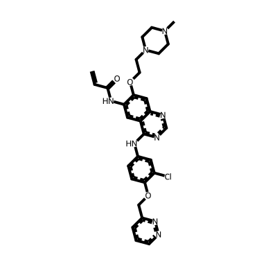 C=CC(=O)Nc1cc2c(Nc3ccc(OCc4cccnn4)c(Cl)c3)ncnc2cc1OCCN1CCN(C)CC1